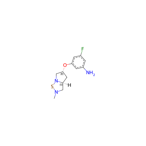 CN1C[C@@H]2C[C@@H](Oc3cc(N)cc(F)c3)CN2S1